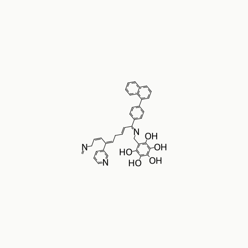 C=NC/C=C\C(=C/C/C=C/C(=N\Cc1c(O)c(O)c(O)c(O)c1O)c1ccc(-c2cccc3ccccc23)cc1)c1cccnc1